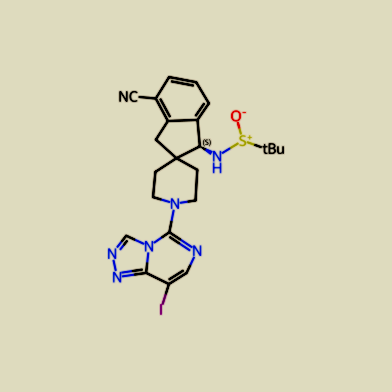 CC(C)(C)[S+]([O-])N[C@@H]1c2cccc(C#N)c2CC12CCN(c1ncc(I)c3nncn13)CC2